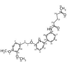 COc1ccc(CCOc2cccc(-c3cccc(NC(=O)CCCC(C)=O)c3)n2)cc1OC